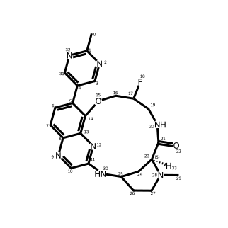 Cc1ncc(-c2ccc3ncc4nc3c2OCC(F)CNC(=O)[C@@H]2CC(CCN2C)N4)cn1